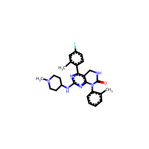 Cc1cc(F)ccc1-c1nc(NC2CCN(C)CC2)nc2c1CNC(=O)N2c1ccccc1C